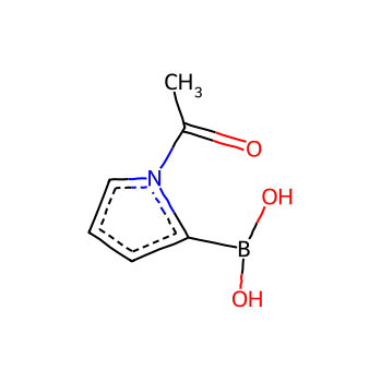 CC(=O)n1cccc1B(O)O